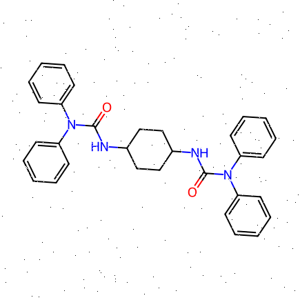 O=C(NC1CCC(NC(=O)N(c2ccccc2)c2ccccc2)CC1)N(c1ccccc1)c1ccccc1